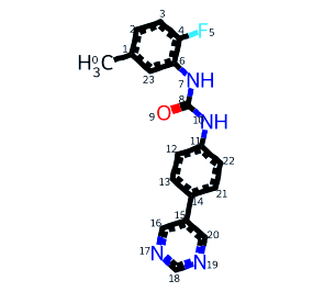 Cc1ccc(F)c(NC(=O)Nc2ccc(-c3cncnc3)cc2)c1